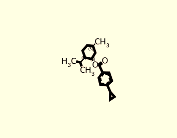 CC(C)[C@H]1CC[C@H](C)C[C@@H]1OC(=O)c1ccc(C2CC2)cc1